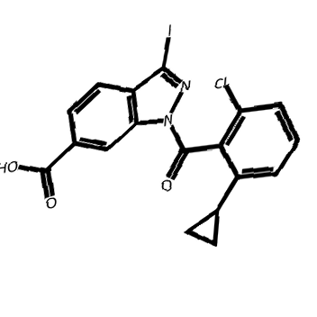 O=C(O)c1ccc2c(I)nn(C(=O)c3c(Cl)cccc3C3CC3)c2c1